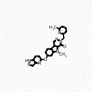 Cc1cccc(Cn2ncc3c4ccc(Oc5ccc6[nH]ncc6n5)cc4n(C)c3c2=O)n1